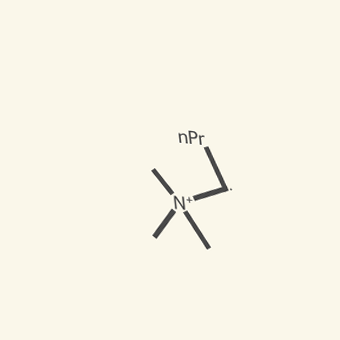 CCC[CH][N+](C)(C)C